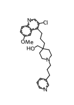 COc1ccc2ncc(Cl)c(CCCC3(CO)CCN(CCCc4cccnc4)CC3)c2c1